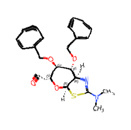 CN(C)C1=N[C@@H]2[C@@H](OCc3ccccc3)[C@H](OCc3ccccc3)[C@@H](C=O)O[C@@H]2S1